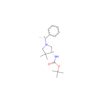 C[C@H](c1ccccc1)N1C[C@H](NC(=O)OC(C)(C)C)C(C)(C)C1